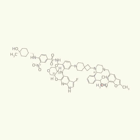 COc1cc(CN2CCN(C3CC4(CCN(c5ccc(C(=O)NS(=O)(=O)c6ccc(NC[C@H]7CC[C@](C)(O)CC7)c([N+](=O)[O-])c6)c(N6c7cc8c(F)c[nH]c8nc7O[C@H]7COCC[C@@H]76)c5)CC4)C3)[C@H](c3ccccc3C(C)C)C2)cc2cc(C)oc12